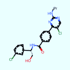 CC(C)Nc1ncc(Cl)c(-c2ccc(C(=O)N[C@H](CO)c3cccc(Cl)c3)cc2)n1